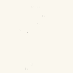 COc1ccccc1N1CCN(CCN2C(=O)CSc3c(OCC(O)NC(C)(C)C)cccc32)CC1